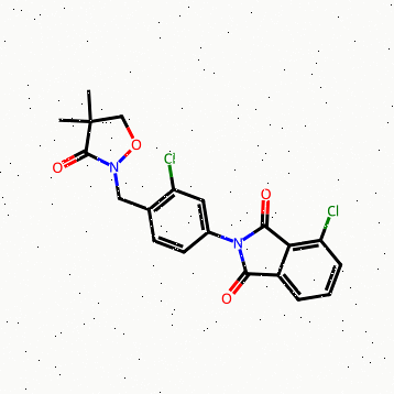 CC1(C)CON(Cc2ccc(N3C(=O)c4cccc(Cl)c4C3=O)cc2Cl)C1=O